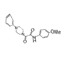 COc1ccc(NC(=O)C(=O)N2CCN(c3ccccc3)CC2)cc1